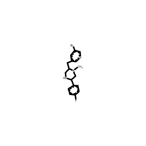 CN1CC(c2ccc(F)cc2)NCC1Cc1cncc(Br)c1